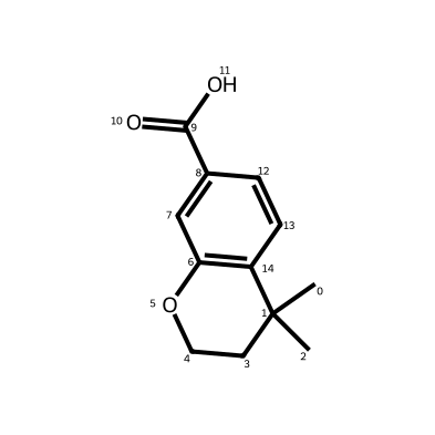 CC1(C)CCOc2cc(C(=O)O)ccc21